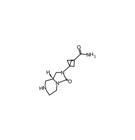 NC(=O)C12CC(N3C[C@H]4CNCCN4C3=O)(C1)C2